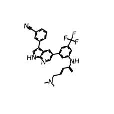 C=C(/C=C/CN(C)C)Nc1cc(-c2cnc3[nH]cc(-c4cccc(C#N)c4)c3c2)cc(C(F)(F)F)c1